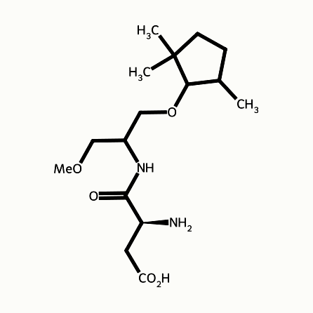 COCC(COC1C(C)CCC1(C)C)NC(=O)[C@@H](N)CC(=O)O